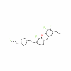 CCCc1cc2c(c(F)c1F)Oc1c(ccc(CCC3CCC(CCCF)CC3)c1F)C2